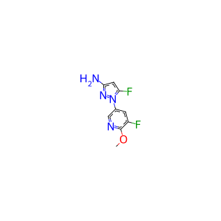 COc1ncc(-n2nc(N)cc2F)cc1F